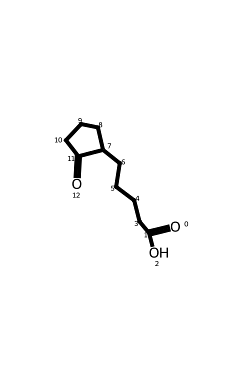 O=C(O)CCCCC1CCCC1=O